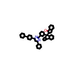 c1ccc(-c2ccc(-c3cc(-c4ccccc4)nc(-c4ccc5c(c4)C4(c6ccccc6-c6ccccc64)c4ccc6ccccc6c4O5)n3)cc2)cc1